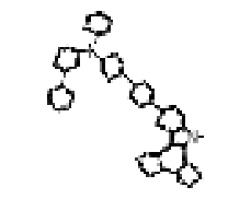 Cn1c2ccc(-c3ccc(-c4ccc(N(c5ccccc5)c5cccc(-c6ccccc6)c5)cc4)cc3)cc2c2c3ccccc3c3ccccc3c21